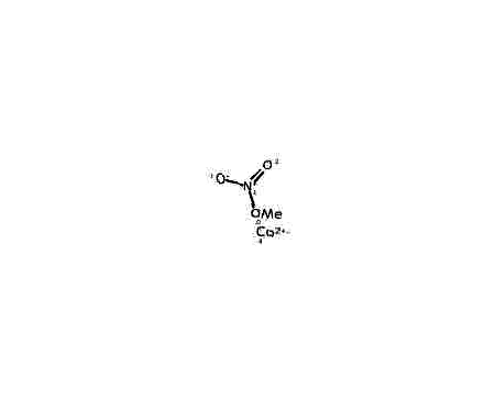 CO[N+](=O)[O-].[Co+2]